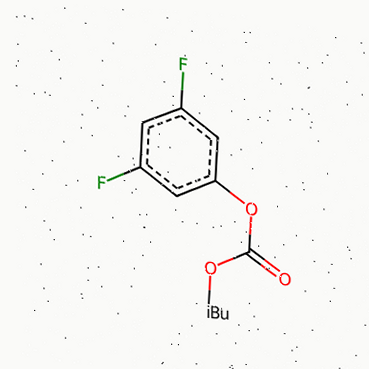 CCC(C)OC(=O)Oc1cc(F)cc(F)c1